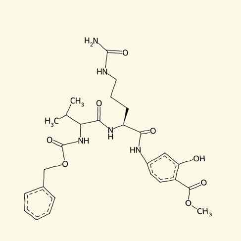 COC(=O)c1ccc(NC(=O)[C@H](CCCNC(N)=O)NC(=O)C(NC(=O)OCc2ccccc2)C(C)C)cc1O